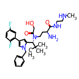 CNCCNC(=O)[C@@H](N)CCN(C(=O)CO)[C@@H](c1cc(-c2cc(F)ccc2F)cn1Cc1ccccc1)C(C)(C)C